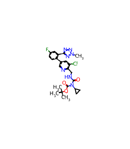 Cn1nnc(-c2cc(F)ccc2-c2cnc(CNC(=O)N(C(=O)OC(C)(C)C)C3CC3)c(Cl)c2)n1